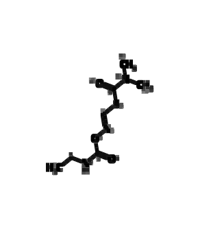 CCNC(=O)ON=CSC(=O)N(C)C